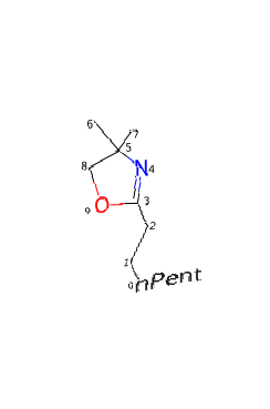 CCCCCCCC1=NC(C)(C)CO1